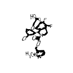 Cn1nccc1COC(=O)N1CCc2c(ccc(F)c2F)[C@H]1c1cc(Cl)ccc1OCC(=O)O